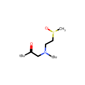 C[S+]([O-])CCN(CC(=O)C(C)(C)C)C(C)(C)C